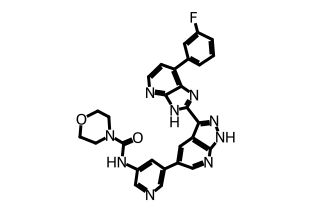 O=C(Nc1cncc(-c2cnc3[nH]nc(-c4nc5c(-c6cccc(F)c6)ccnc5[nH]4)c3c2)c1)N1CCOCC1